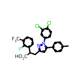 Cc1ccc(-c2cc(CC(C(=O)O)c3cccc(C(F)(F)F)c3F)nn2-c2ccc(Cl)c(Cl)c2)cc1